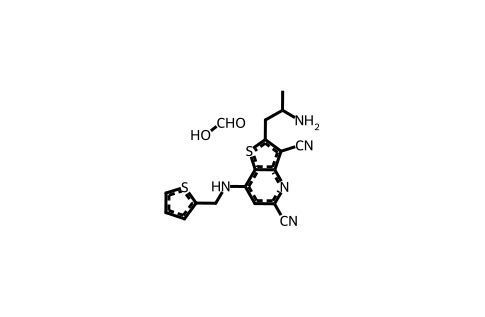 CC(N)Cc1sc2c(NCc3cccs3)cc(C#N)nc2c1C#N.O=CO